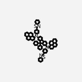 c1ccc(C2(c3ccccc3)c3cc(N(c4ccc(-c5nc6ccccc6s5)cc4)c4ccc5ccc6cccc7ccc4c5c67)ccc3-c3ccc(N(c4ccc(-c5nc6ccccc6s5)cc4)c4ccc5ccc6cccc7ccc4c5c67)cc32)cc1